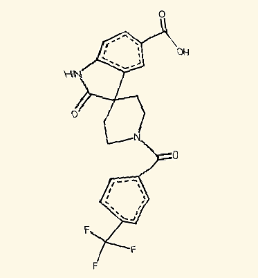 O=C(O)c1ccc2c(c1)C1(CCN(C(=O)c3ccc(C(F)(F)F)cc3)CC1)C(=O)N2